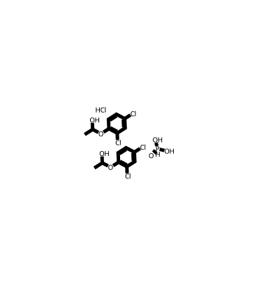 CC(O)Oc1ccc(Cl)cc1Cl.CC(O)Oc1ccc(Cl)cc1Cl.Cl.O=[PH](O)O